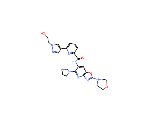 O=C(Nc1cc2oc(N3CCOCC3)nc2nc1N1CCCC1)c1cccc(-c2cnn(CCO)c2)n1